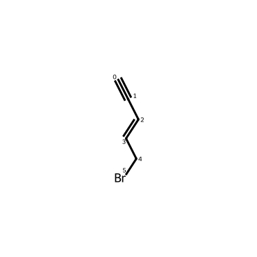 C#C/C=C/CBr